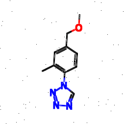 COCc1ccc(-n2cnnn2)c(C)c1